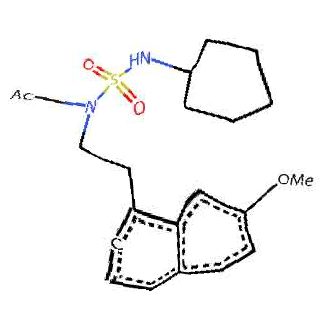 COc1ccc2cccc(CCN(C(C)=O)S(=O)(=O)NC3CCCCC3)c2c1